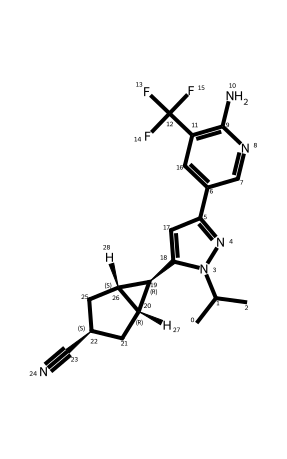 CC(C)n1nc(-c2cnc(N)c(C(F)(F)F)c2)cc1[C@H]1[C@@H]2C[C@@H](C#N)C[C@@H]21